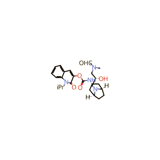 CC(C)n1c(=O)c(OC(=O)N[C@@H]2C[C@H]3CC[C@@H](C2)N3C[C@@H](O)CN(C)C=O)cc2ccccc21